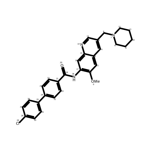 COc1cc2cc(CN3CCCCC3)cnc2cc1NC(=O)c1ccc(-c2ccc(Cl)cc2)cc1